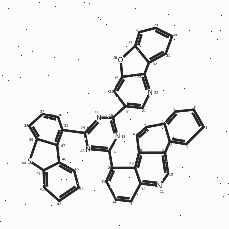 c1ccc2c(c1)ccc1c2cnc2cccc(-c3nc(-c4cnc5c(c4)oc4ccccc45)nc(-c4cccc5sc6ccccc6c45)n3)c21